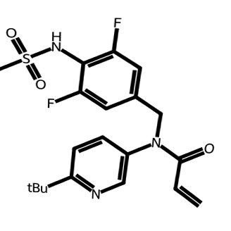 C=CC(=O)N(Cc1cc(F)c(NS(C)(=O)=O)c(F)c1)c1ccc(C(C)(C)C)nc1